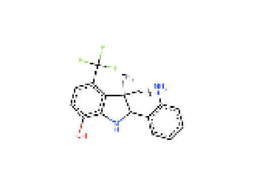 CC1(C)c2c(C(F)(F)F)ccc(O)c2NC1c1ccccc1N